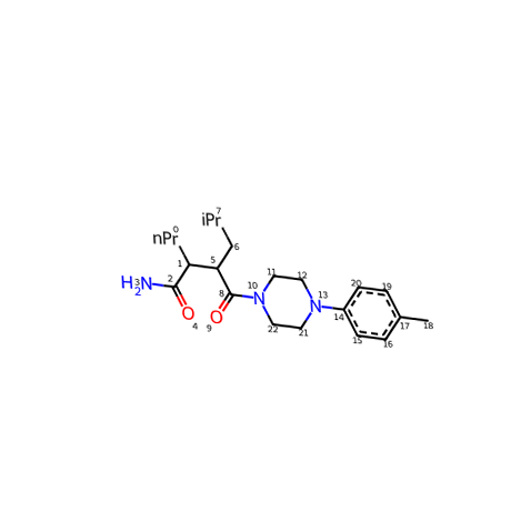 CCCC(C(N)=O)C(CC(C)C)C(=O)N1CCN(c2ccc(C)cc2)CC1